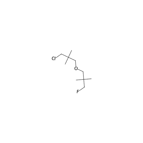 CC(C)(CF)COCC(C)(C)CCl